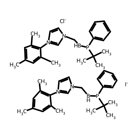 Cc1cc(C)c(-[n+]2ccn(CBP(c3ccccc3)C(C)(C)C)c2)c(C)c1.Cc1cc(C)c(-[n+]2ccn(CBP(c3ccccc3)C(C)(C)C)c2)c(C)c1.[Cl-].[I-]